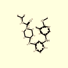 COc1ncc(Nc2cc(OC3CCN(C(=O)OC(C)C)CC3)ncn2)cc1C